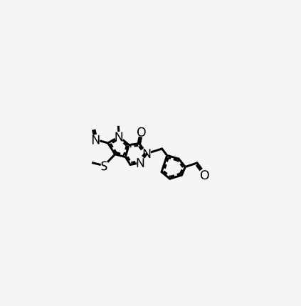 C=Nc1c(SC)c2cnn(Cc3cccc(C=O)c3)c(=O)c2n1C